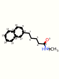 CNC(=O)CCCCc1ccc2ccccc2c1